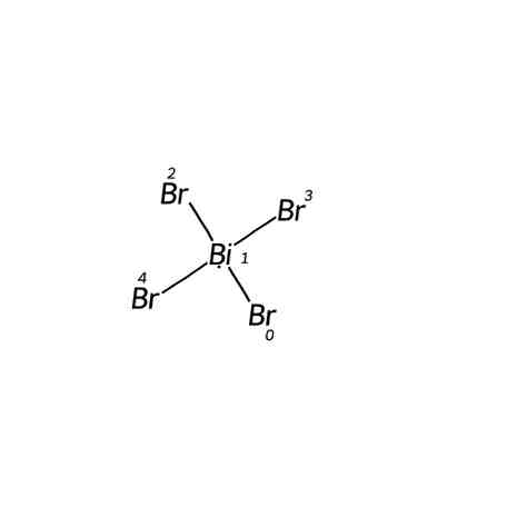 [Br][Bi]([Br])([Br])[Br]